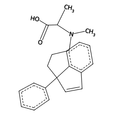 CC(C(=O)O)N(C)CCCC1(c2ccccc2)C=Cc2ccccc21